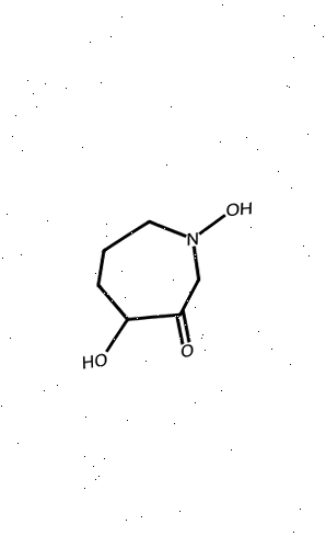 O=C1CN(O)CCCC1O